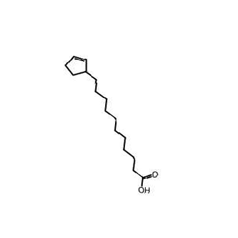 O=C(O)CCCCCCCCCCC1C=CCC1